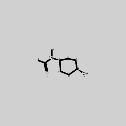 CC(=O)N(C)[C@H]1CC[C@@H](O)CC1